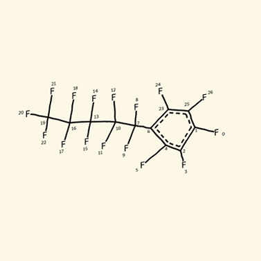 Fc1c(F)c(F)c(C(F)(F)C(F)(F)C(F)(F)C(F)(F)C(F)(F)F)c(F)c1F